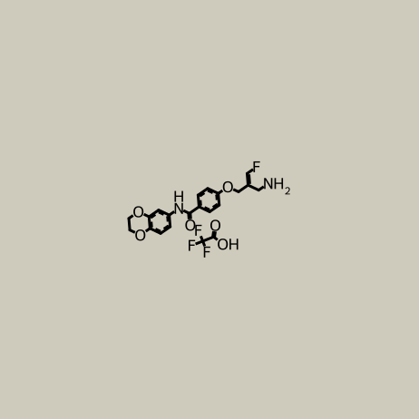 NCC(=CF)COc1ccc(C(=O)Nc2ccc3c(c2)OCCO3)cc1.O=C(O)C(F)(F)F